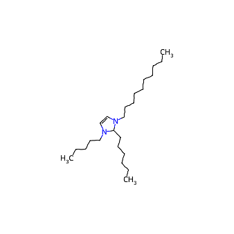 CCCCCCCCCCN1C=CN(CCCCC)C1CCCCCC